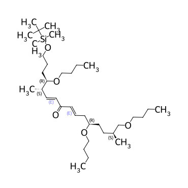 CCCCOC[C@@H](C)CC[C@H](C/C=C/C(=O)/C=C/[C@H](C)[C@@H](CCCO[Si](C)(C)C(C)(C)C)OCCCC)OCCCC